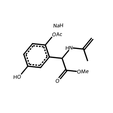 C=C(C)NC(C(=O)OC)c1cc(O)ccc1OC(C)=O.[NaH]